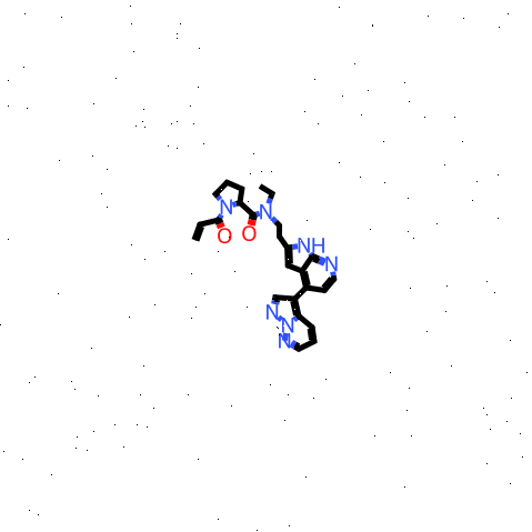 C=CC(=O)N1CCCC1C(=O)N(CC)CCc1cc2c(-c3cnn4ncccc34)ccnc2[nH]1